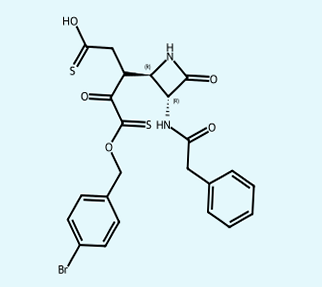 O=C(Cc1ccccc1)N[C@H]1C(=O)N[C@@H]1C(CC(O)=S)C(=O)C(=S)OCc1ccc(Br)cc1